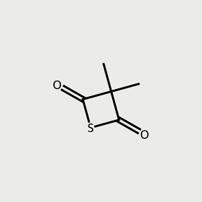 CC1(C)C(=O)SC1=O